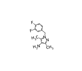 Cc1nn(Cc2ccc(F)c(F)c2)c(C)c1N